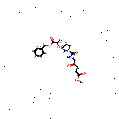 COC(=O)CCC(=O)CNC(=O)N1CC[C@H](OC(C)C(=O)OCc2ccccc2)C1